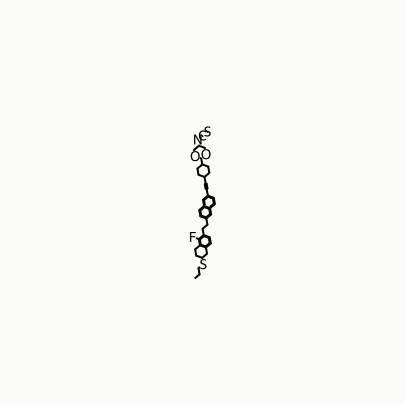 CCCSC1CCc2c(ccc(CCc3ccc4cc(C#CC5CCC(C6OCC(N=C=S)CO6)CC5)ccc4c3)c2F)C1